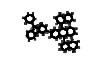 c1ccc(-n2c3ccccc3c3cc(-c4ccc5c(-c6cccc7ccccc67)c6ccccc6c(-c6cccc7ccccc67)c5c4)ccc32)cc1